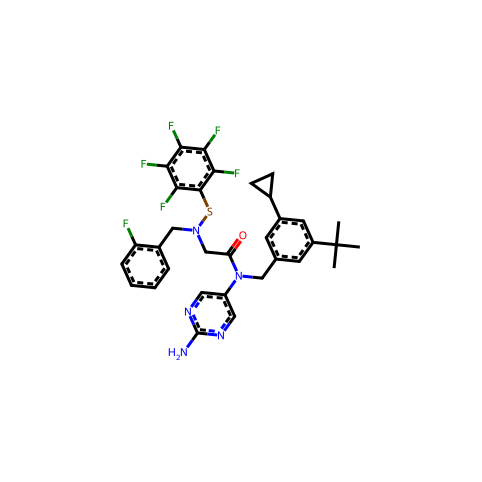 CC(C)(C)c1cc(CN(C(=O)CN(Cc2ccccc2F)Sc2c(F)c(F)c(F)c(F)c2F)c2cnc(N)nc2)cc(C2CC2)c1